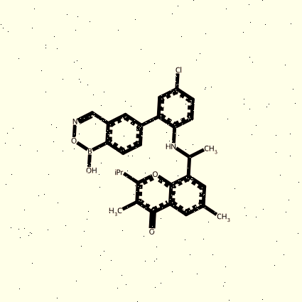 Cc1cc(C(C)Nc2ccc(Cl)cc2-c2ccc3c(c2)C=NOB3O)c2oc(C(C)C)c(C)c(=O)c2c1